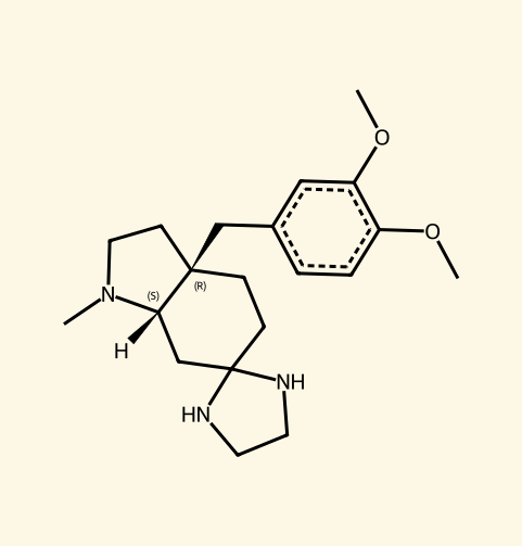 COc1ccc(C[C@]23CCN(C)[C@H]2CC2(CC3)NCCN2)cc1OC